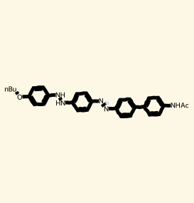 CCCCOc1ccc(NNc2ccc(/N=N/c3ccc(-c4ccc(NC(C)=O)cc4)cc3)cc2)cc1